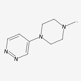 [CH2]N1CCN(c2ccnnc2)CC1